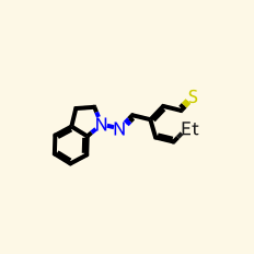 CC/C=C\C(C=NN1CCc2ccccc21)=C/C=S